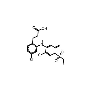 C=C/C=C(Nc1cc(Cl)ccc1CCC(=O)O)\C(Cl)=C/CS(=O)(=O)CC